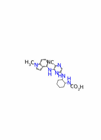 Cn1ccc2c(Nc3nc(NC4CCCCC4NC(=O)O)cnc3C#N)cccc21